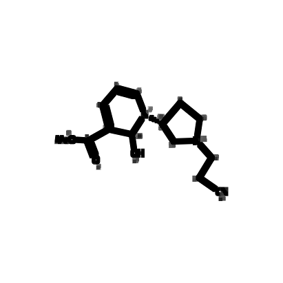 COC(=O)C1=CC=CN([C@@H]2CCN(CCC#N)C2)C1O